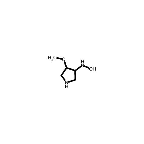 COC1CNCC1NO